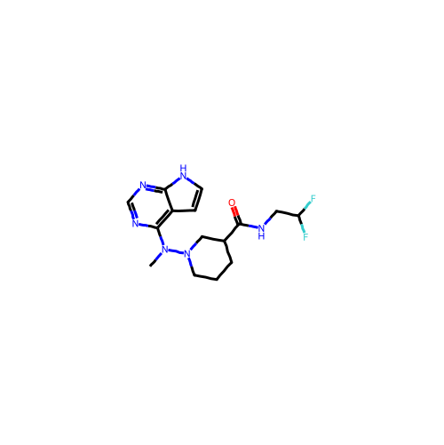 CN(c1ncnc2[nH]ccc12)N1CCCC(C(=O)NCC(F)F)C1